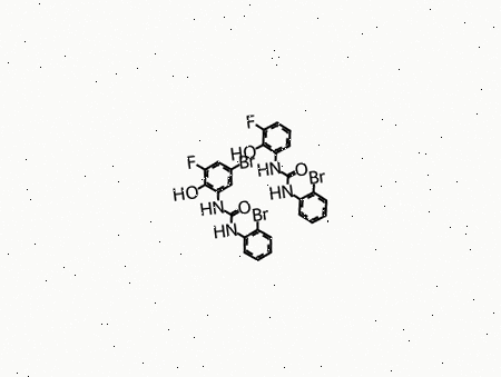 O=C(Nc1ccccc1Br)Nc1cc(Br)cc(F)c1O.O=C(Nc1ccccc1Br)Nc1cccc(F)c1O